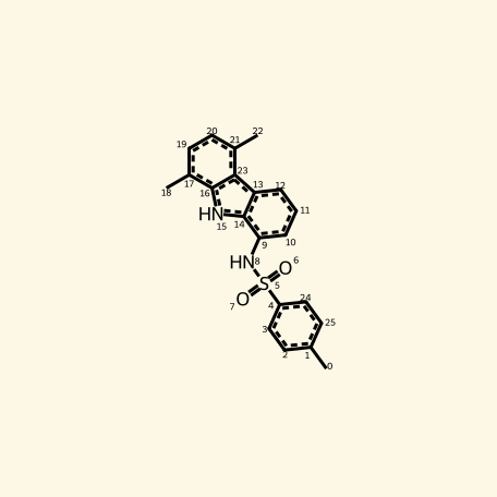 Cc1ccc(S(=O)(=O)Nc2cccc3c2[nH]c2c(C)ccc(C)c23)cc1